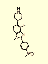 Cn1c(-c2ccc([S+](C)[O-])cc2)nc2c(F)c(C3CCNCC3)ccc21